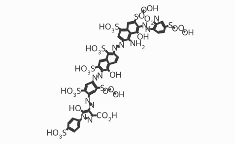 Nc1c(N=Nc2ccc3c(O)c(N=Nc4cc(S(=O)(=O)O)c(N=Nc5c(C(=O)O)nn(-c6ccc(S(=O)(=O)O)cc6)c5O)cc4SOOO)c(S(=O)(=O)O)cc3c2S(=O)(=O)O)cc(S(=O)(=O)O)c2cc(SOOO)c(N=Nc3ccc(SOOO)cc3[N+](=O)[O-])c(O)c12